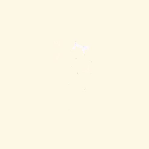 O=C(O)c1n[nH]c2c1CC(c1ccc(F)cc1F)OC2